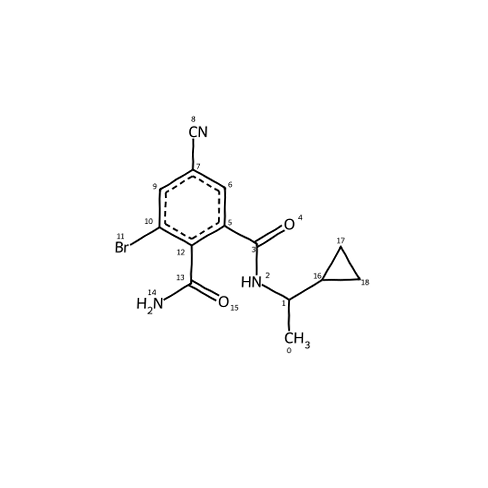 CC(NC(=O)c1cc(C#N)cc(Br)c1C(N)=O)C1CC1